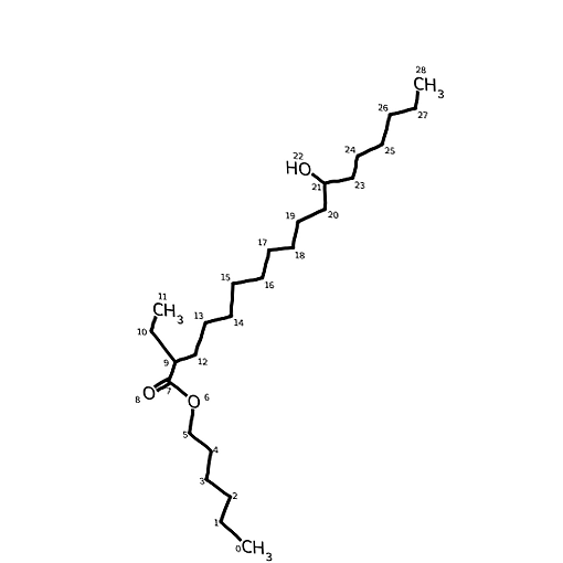 CCCCCCOC(=O)C(CC)CCCCCCCCCC(O)CCCCCC